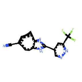 N#Cc1ccc2nc(-c3cnnc(C(F)(F)F)c3)[nH]c2c1